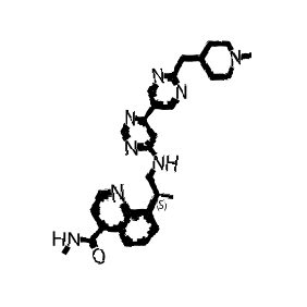 CNC(=O)c1ccnc2c([C@H](C)CNc3cc(-c4cnc(CC5CCN(C)CC5)nc4)ncn3)cccc12